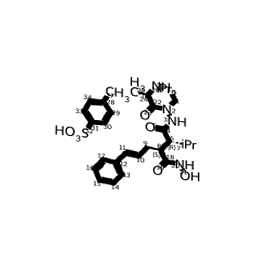 CC(C)CN(NC(=O)[C@H](C(C)C)[C@H](CC=Cc1ccccc1)C(=O)NO)C(=O)[C@@H](C)N.Cc1ccc(S(=O)(=O)O)cc1